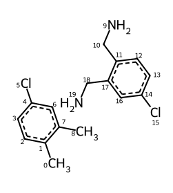 Cc1ccc(Cl)cc1C.NCc1ccc(Cl)cc1CN